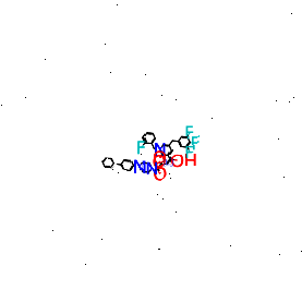 O=C(/C=C(/O)c1cc(Cc2cc(F)c(F)c(F)c2)cn(Cc2ccccc2F)c1=O)C(=O)N1CCN(c2ccc(-c3ccccc3)cc2)CC1